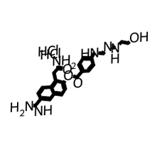 Cl.Cl.N=C(N)c1ccc2c(CC(N)=O)c(OC(=O)c3ccc(N/C=N/NCCO)cc3)ccc2c1